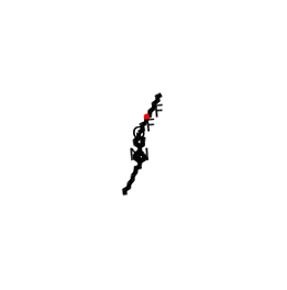 CCCCCCCCCc1cnc(-c2ccc(OCCC(F)CCCC(F)CCCC)cc2)nc1